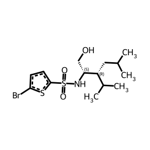 CC(C)C[C@H](C(C)C)[C@@H](CO)NS(=O)(=O)c1ccc(Br)s1